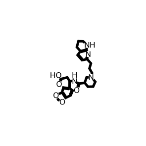 O=C(O)CC(NC(=O)C1CCCN(CCCc2ccc3c(n2)NCCC3)C1)c1ccc2c(c1)OCO2